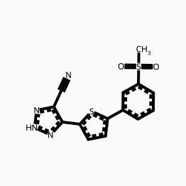 CS(=O)(=O)c1cccc(-c2ccc(-c3n[nH]nc3C#N)s2)c1